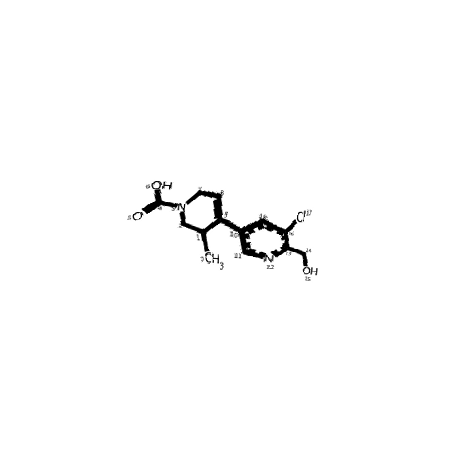 CC1CN(C(=O)O)CC=C1c1cnc(CO)c(Cl)c1